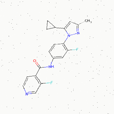 Cc1cc(C2CC2)n(-c2ccc(NC(=O)c3ccncc3F)cc2F)n1